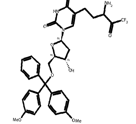 COc1ccc(C(OC[C@H]2O[C@@H](n3cc(CCC(N)C(=O)C(F)(F)F)c(=O)[nH]c3=O)C[C@@H]2O)(c2ccccc2)c2ccc(OC)cc2)cc1